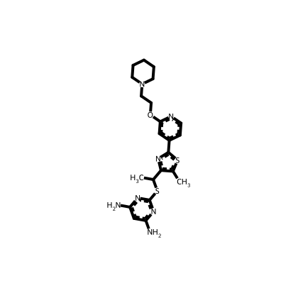 Cc1sc(-c2ccnc(OCCN3CCCCC3)c2)nc1C(C)Sc1nc(N)cc(N)n1